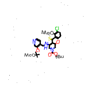 COc1c(Cl)cccc1C(=S)C1=C(NCc2ccncc2OCC(C)(C)OC)CN(C(=O)OC(C)(C)C)CC1=O